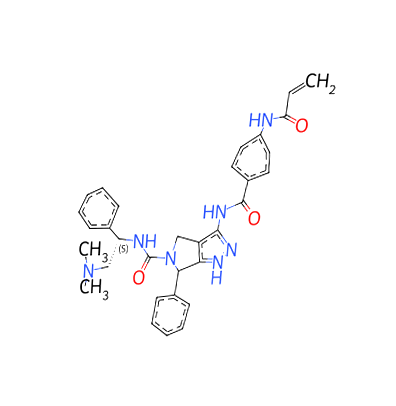 C=CC(=O)Nc1ccc(C(=O)Nc2n[nH]c3c2CN(C(=O)N[C@H](CN(C)C)c2ccccc2)C3c2ccccc2)cc1